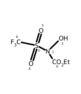 CCOC(=O)N(O)S(=O)(=O)C(F)(F)F